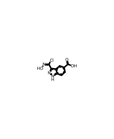 O=C(O)c1ccc2[nH]nc(/C(Cl)=N\O)c2c1